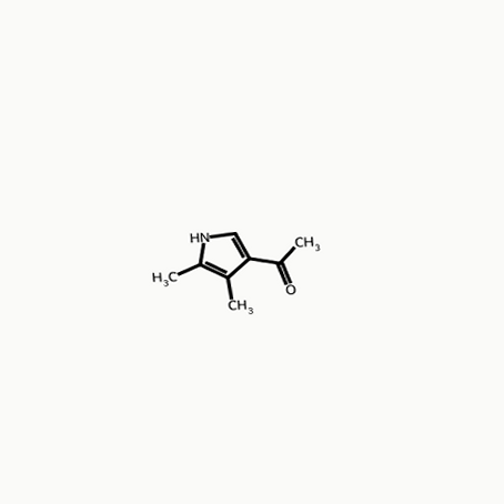 CC(=O)c1c[nH]c(C)c1C